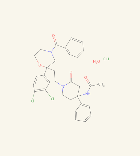 CC(=O)NC1(c2ccccc2)CCN(CCC2(c3ccc(Cl)c(Cl)c3)CN(C(=O)c3ccccc3)CCO2)C(=O)C1.Cl.O